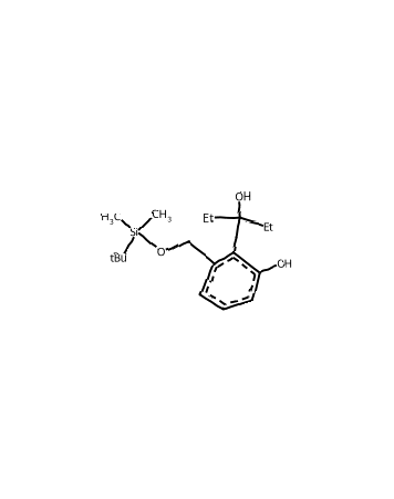 CCC(O)(CC)c1c(O)cccc1CO[Si](C)(C)C(C)(C)C